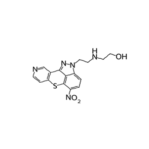 O=[N+]([O-])c1ccc2c3c(nn2CCNCCO)-c2cnccc2Sc13